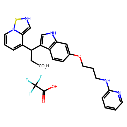 O=C(O)C(F)(F)F.O=C(O)CC(C1=CC=CN2SNC=C12)c1c[nH]c2cc(OCCCNc3ccccn3)ccc12